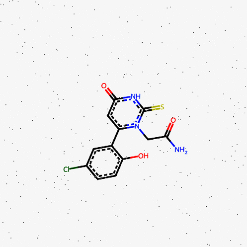 NC(=O)Cn1c(-c2cc(Cl)ccc2O)cc(=O)[nH]c1=S